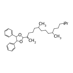 C=C(CCCC(C)CCCC(C)CCCC(C)C)C1OC(c2ccccc2)C(c2ccccc2)O1